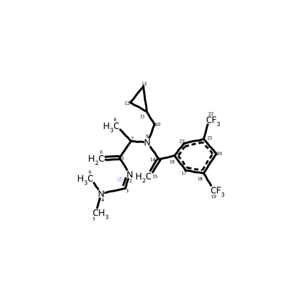 C=C(/N=C\N(C)C)C(C)N(CC1CC1)C(=C)c1cc(C(F)(F)F)cc(C(F)(F)F)c1